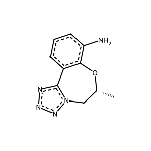 C[C@@H]1Cn2nnnc2-c2cccc(N)c2O1